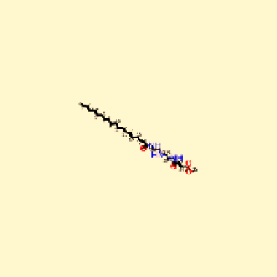 CCC=CCC=CCC=CCC=CCC=CCCCC(=O)NCCNCCNC(=O)/C=C/C(=O)OC